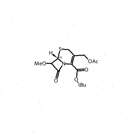 COC1C(=O)N2C(C(=O)OC(C)(C)C)=C(COC(C)=O)CS[C@@H]12